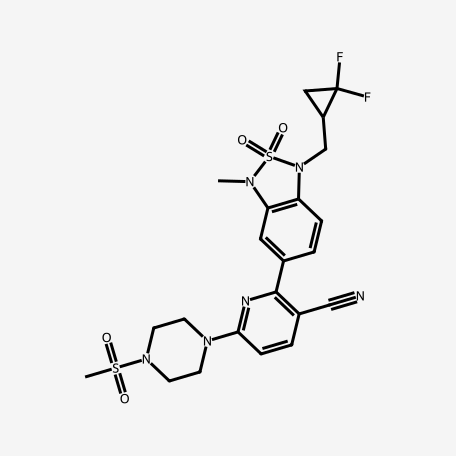 CN1c2cc(-c3nc(N4CCN(S(C)(=O)=O)CC4)ccc3C#N)ccc2N(CC2CC2(F)F)S1(=O)=O